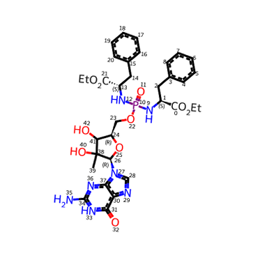 CCOC(=O)[C@H](Cc1ccccc1)NP(=O)(N[C@@H](Cc1ccccc1)C(=O)OCC)OC[C@H]1O[C@@H](n2cnc3c(=O)[nH]c(N)nc32)C(C)(O)C1O